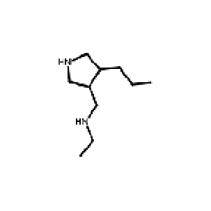 CCCC1CNCC1CNCC